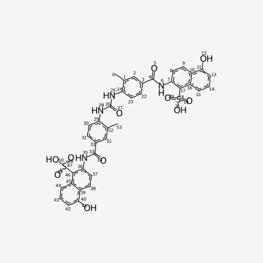 Cc1cc(C(=O)Nc2ccc3c(O)cccc3c2S(=O)(=O)O)ccc1NC(=O)Nc1ccc(C(=O)Nc2ccc3c(O)cccc3c2S(=O)(=O)O)cc1C